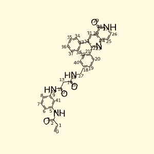 C=CC(=O)Nc1cccc(NC(=O)CC(=O)NCc2ccc(-c3nc4cc[nH]c(=O)c4cc3-c3ccccc3)cc2)c1